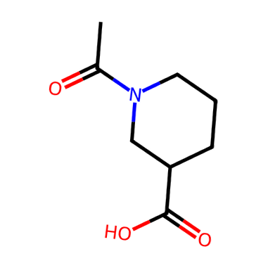 CC(=O)N1CCCC(C(=O)O)C1